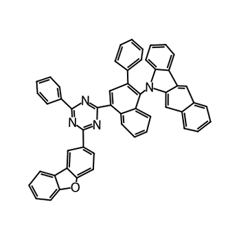 c1ccc(-c2nc(-c3ccc4oc5ccccc5c4c3)nc(-c3cc(-c4ccccc4)c(-n4c5ccccc5c5cc6ccccc6cc54)c4ccccc34)n2)cc1